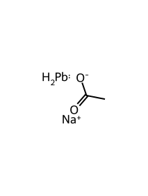 CC(=O)[O-].[Na+].[PbH2]